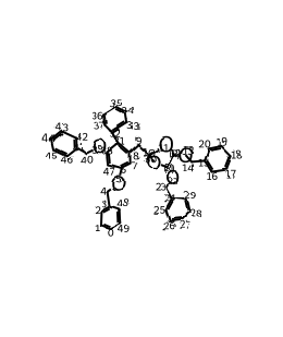 c1ccc(COc2cc(CC3O[C@@H](OCc4ccccc4)[C@H](OCc4ccccc4)O3)c(-c3ccccc3)c(OCc3ccccc3)c2)cc1